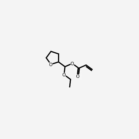 C=CC(=O)OC(OCC)C1CCCO1